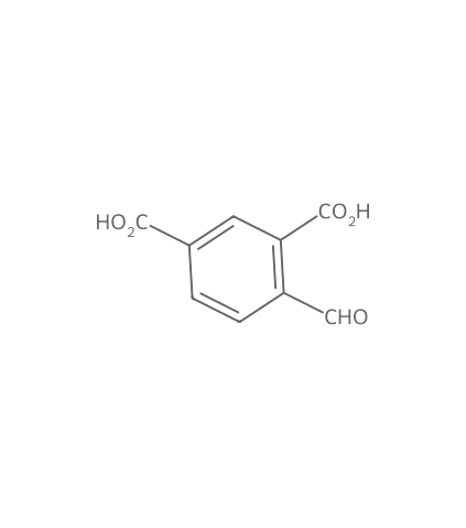 O=Cc1ccc(C(=O)O)cc1C(=O)O